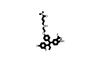 CC/C(=C(/c1ccc(OCCNC/C=C/C(=O)N(C)C)cc1)c1ccc2[nH]nc(F)c2c1)c1ccc(F)cc1F